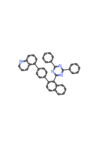 c1ccc(-c2nc(-c3ccccc3)nc(-c3c(-c4ccc(-c5cccc6ncccc56)cc4)ccc4ccccc34)n2)cc1